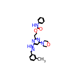 Cc1cccc(C=NNc2cc(N3CCOCC3)nc(CCOC(=O)Nc3ccccc3)n2)c1